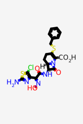 Nc1nc(C(=NO)C(=O)N[C@@H]2C(=O)N3C(C(=O)O)=C(SCc4ccccc4)CC[C@H]23)c(Cl)s1